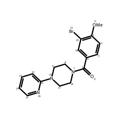 COc1ccc(C(=O)N2CCN(c3ccccn3)CC2)cc1Br